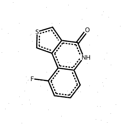 O=c1[nH]c2cccc(F)c2c2cscc12